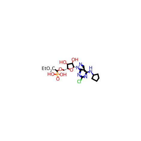 CCOC(=O)C(OC[C@H]1O[C@@H](n2ncc3c(NC4CCCC4)nc(Cl)nc32)[C@H](O)[C@@H]1O)P(=O)(O)O